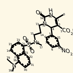 CC1=C(C(=O)O)C(c2cccc([N+](=O)[O-])c2)N(CCCN(C)S(=O)(=O)c2cccc3c(N(C)C)cccc23)C(=O)N1